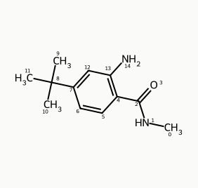 CNC(=O)c1ccc(C(C)(C)C)cc1N